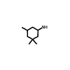 CC1CC([NH])CC(C)(C)C1